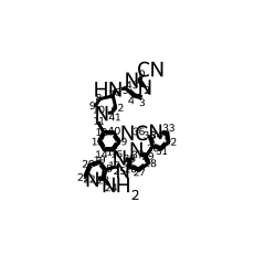 N#Cc1nccc(NC2CCN(Cc3ccc(-n4c(-c5cccnc5N)nc5ccc(-c6cccnc6C#N)nc54)cc3)CC2)n1